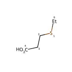 [CH2]CSCCC(=O)O